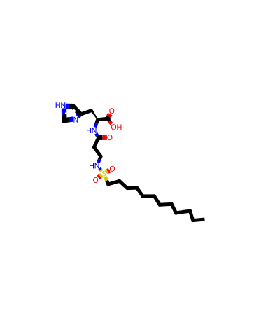 CCCCCCCCCCCCS(=O)(=O)NCCC(=O)N[C@@H](Cc1c[nH]cn1)C(=O)O